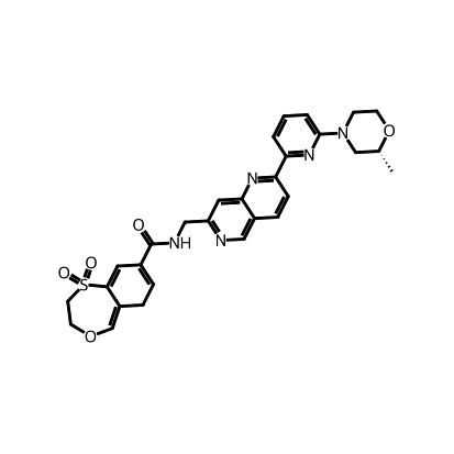 C[C@@H]1CN(c2cccc(-c3ccc4cnc(CNC(=O)C5=CCC6=COCCS(=O)(=O)C6=C5)cc4n3)n2)CCO1